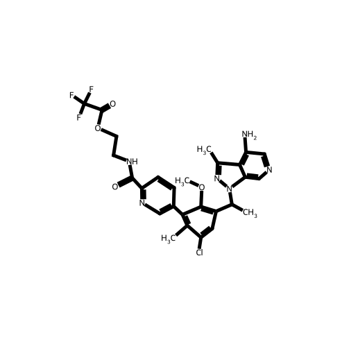 COc1c(C(C)n2nc(C)c3c(N)cncc32)cc(Cl)c(C)c1-c1ccc(C(=O)NCCOC(=O)C(F)(F)F)nc1